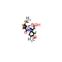 COC1=CCC2C(=C1F)C(CC(=O)O)=C(C)N2C(=O)c1csc(SC)c1